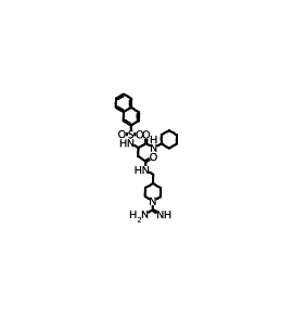 N=C(N)N1CCC(CNC(=O)CC(NS(=O)(=O)c2ccc3ccccc3c2)C(=O)NC2CCCCC2)CC1